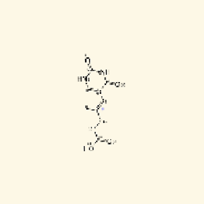 C/C(=C\c1c[nH]c(=O)[nH]c1=O)CCC(=O)O